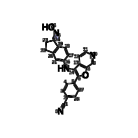 N#Cc1ccc(-c2oc3cnccc3c2Nc2ccc3c(c2)CC/C3=N\O)cc1